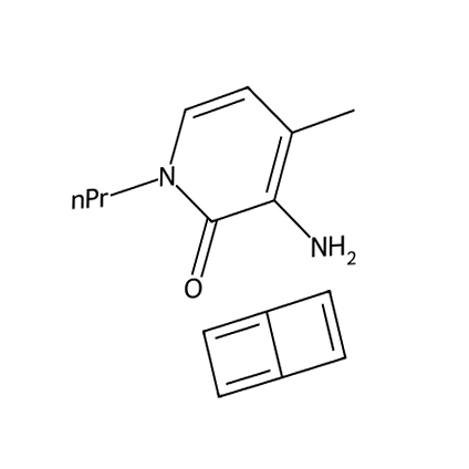 CCCn1ccc(C)c(N)c1=O.c1cc2ccc1-2